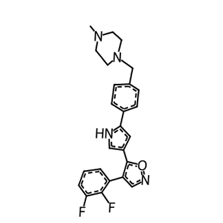 CN1CCN(Cc2ccc(-c3cc(-c4oncc4-c4cccc(F)c4F)c[nH]3)cc2)CC1